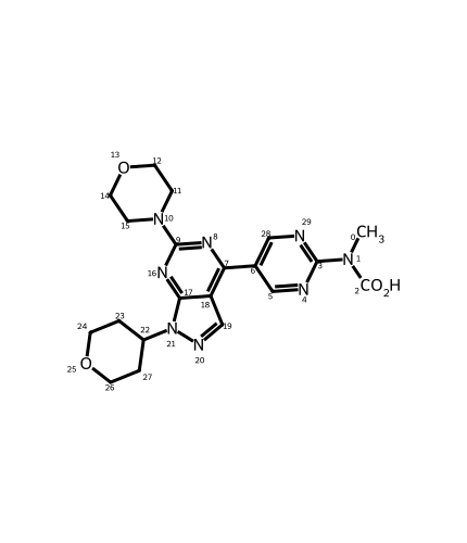 CN(C(=O)O)c1ncc(-c2nc(N3CCOCC3)nc3c2cnn3C2CCOCC2)cn1